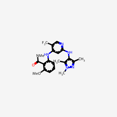 CNC(=O)c1c(Nc2cc(Nc3c(C)nn(C)c3C)ncc2C(F)(F)F)cccc1OC